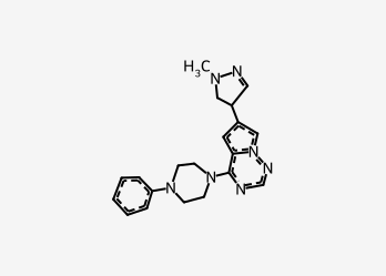 CN1CC(c2cc3c(N4CCN(c5ccccc5)CC4)ncnn3c2)C=N1